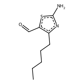 CCCCCc1nc(N)sc1C=O